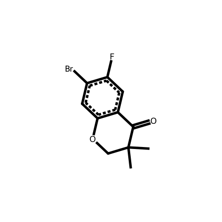 CC1(C)COc2cc(Br)c(F)cc2C1=O